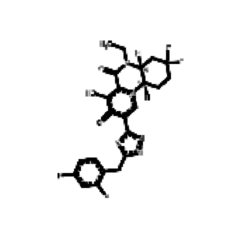 CCN1C(=O)c2c(O)c(=O)c(-c3nnc(Cc4ccc(F)cc4F)s3)cn2[C@H]2CCC(F)(F)C[C@H]21